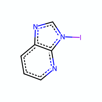 In1cnc2cccnc21